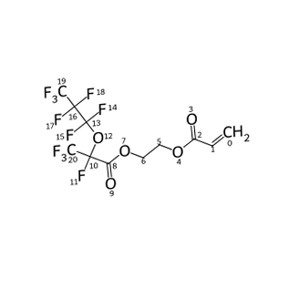 C=CC(=O)OCCOC(=O)C(F)(OC(F)(F)C(F)(F)C(F)(F)F)C(F)(F)F